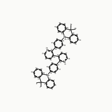 CC1(C)c2ccccc2N(c2ccc(-c3ncccc3-c3cccnc3-c3ccc(N4c5ccccc5C(C)(C)c5ccccc54)cc3)cc2)c2ccccc21